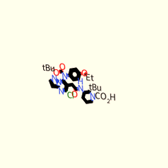 CCOc1ccc(N(C(=O)OC(C)(C)C)c2c(CC(=O)NC3CCCN(C(=O)O)C3C(C)(C)C)c(Cl)nc3ccnn23)cc1